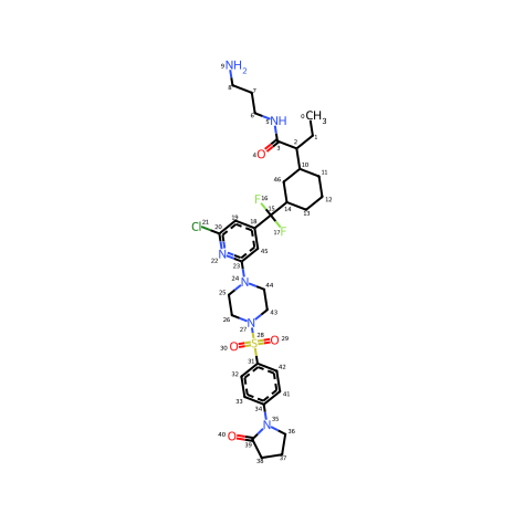 CCC(C(=O)NCCCN)C1CCCC(C(F)(F)c2cc(Cl)nc(N3CCN(S(=O)(=O)c4ccc(N5CCCC5=O)cc4)CC3)c2)C1